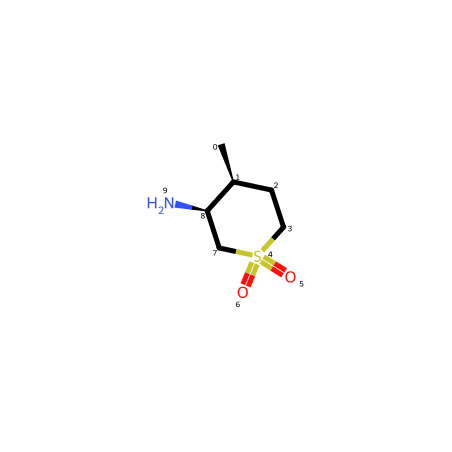 C[C@H]1CCS(=O)(=O)C[C@H]1N